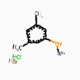 Br.CCCPc1cc(C)cc(C)c1.Cl